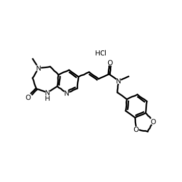 CN1CC(=O)Nc2ncc(C=CC(=O)N(C)Cc3ccc4c(c3)OCO4)cc2C1.Cl